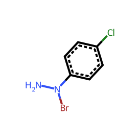 NN(Br)c1ccc(Cl)cc1